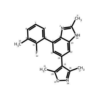 Cc1nc2c(-c3cccc(C)c3F)cc(-c3c(C)noc3C)cc2[nH]1